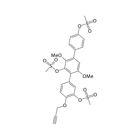 C#CCOc1ccc(-c2c(OC)cc(-c3ccc(OS(C)(=O)=O)cc3)c(OC)c2OS(C)(=O)=O)cc1OS(C)(=O)=O